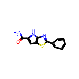 NC(=O)c1cc2sc(-c3ccccc3)nc2[nH]1